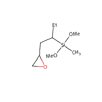 CCC(CC1CO1)[Si](C)(OC)OC